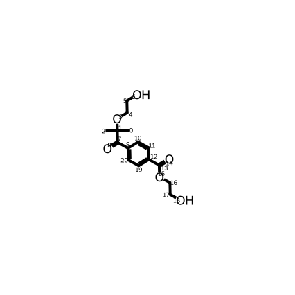 CC(C)(OCCO)C(=O)c1ccc(C(=O)OCCO)cc1